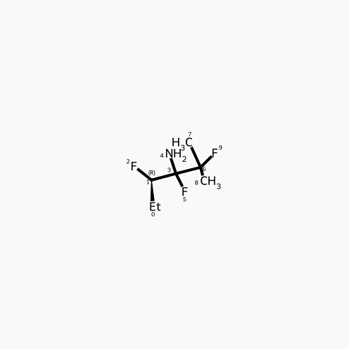 CC[C@@H](F)C(N)(F)C(C)(C)F